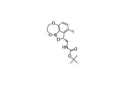 CC(C)(C)OC(=O)NC[C@H]1OB2OCCOc3ccc(I)c1c32